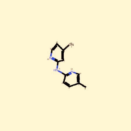 Cc1ccc(Nc2cc(C(C)(C)C)ccn2)nc1